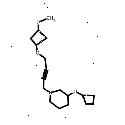 COC1CC(OCC#CCN2CCCC(OC3CCC3)C2)C1